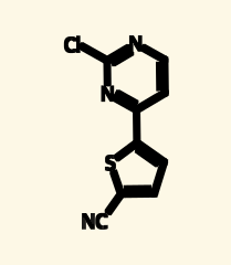 N#Cc1ccc(-c2ccnc(Cl)n2)s1